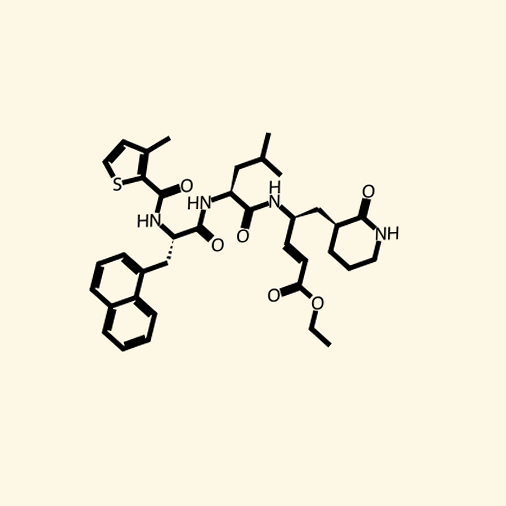 CCOC(=O)/C=C/[C@H](C[C@@H]1CCCNC1=O)NC(=O)[C@H](CC(C)C)NC(=O)[C@H](Cc1cccc2ccccc12)NC(=O)c1sccc1C